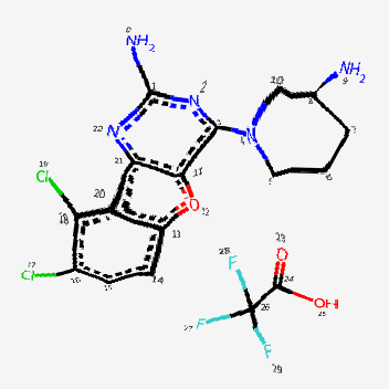 Nc1nc(N2CCC[C@H](N)C2)c2oc3ccc(Cl)c(Cl)c3c2n1.O=C(O)C(F)(F)F